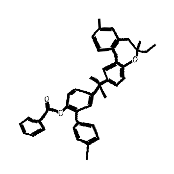 CCC1(C)Cc2cc(C)ccc2-c2cc(C(C)(C)c3ccc(OC(=O)c4ccccc4)c(-c4ccc(C)cc4)c3)ccc2O1